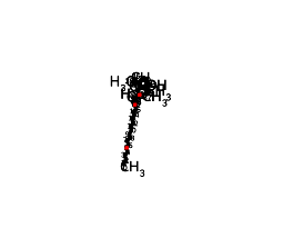 CCCCCCCCCCCCCCCCCCOC(=O)CCc1c(C(C)(C)C)ccc(O)c1C(C)(C)C